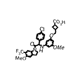 COc1cc(NC(C(=O)N2CCc3cc(OC)c(C(F)(F)F)cc32)c2ccc(Cl)cc2)cc(OCC2CC(C(=O)O)C2)c1